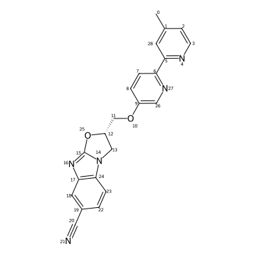 Cc1ccnc(-c2ccc(OC[C@@H]3Cn4c(nc5cc(C#N)ccc54)O3)cn2)c1